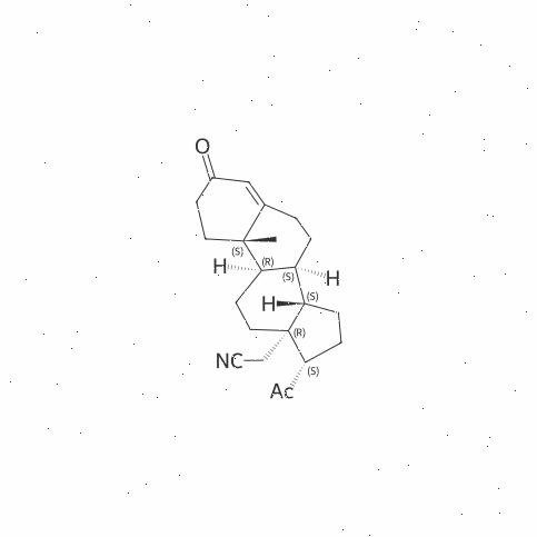 CC(=O)[C@H]1CC[C@H]2[C@@H]3CCC4=CC(=O)CC[C@@]4(C)[C@@H]3CC[C@]12CC#N